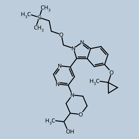 CC(O)C1CN(c2cc(-c3c4cc(OC5(C)CC5)ccc4nn3COCC[Si](C)(C)C)ncn2)CCO1